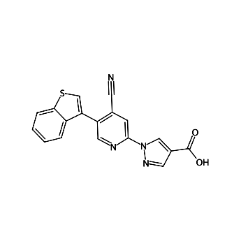 N#Cc1cc(-n2cc(C(=O)O)cn2)ncc1-c1csc2ccccc12